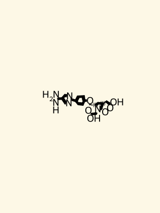 N=C(N)c1cnc(-c2ccc(OC[C@@H]3C[C@@H](CC(=O)O)C(=O)N3CC(=O)O)cc2)nc1